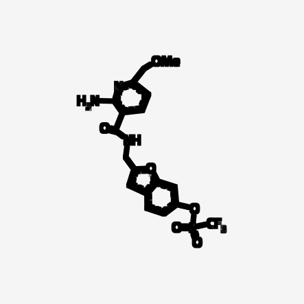 COCc1ccc(C(=O)NCc2cc3ccc(OS(=O)(=O)C(F)(F)F)cc3o2)c(N)n1